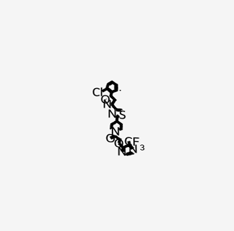 O=C(COc1nccnc1C(F)(F)F)N1CCC(c2nc(C3=NOC(c4[c]cccc4Cl)C3)cs2)CC1